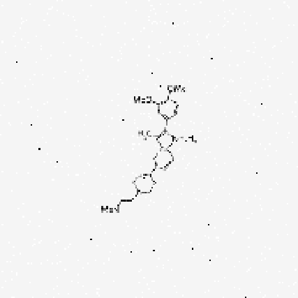 CNCCN1CCC(c2ccc3c(c2)c(C)c(-c2ccc(OC)c(OC)c2)n3C)CC1